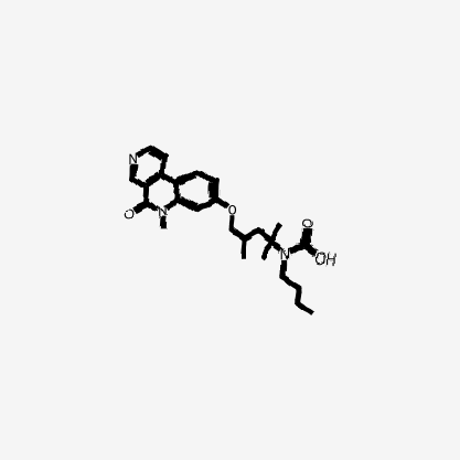 CCCCN(C(=O)O)C(C)(C)CC(C)COc1ccc2c3ccncc3c(=O)n(C)c2c1